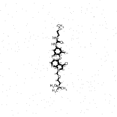 COCCNC(=O)Nc1cc(F)c(Oc2ccnc3c2c(Cl)cn3COCC[Si](C)(C)C)c(F)c1